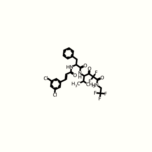 CC(C)C(NC(=O)C(Cc1ccccc1)NC(=O)/C=C/c1cc(Cl)cc(Cl)c1)C(=O)C(F)(F)C(=O)NCC(F)(F)F